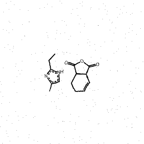 CCc1nc(C)c[nH]1.O=C1OC(=O)C2CCC=CC12